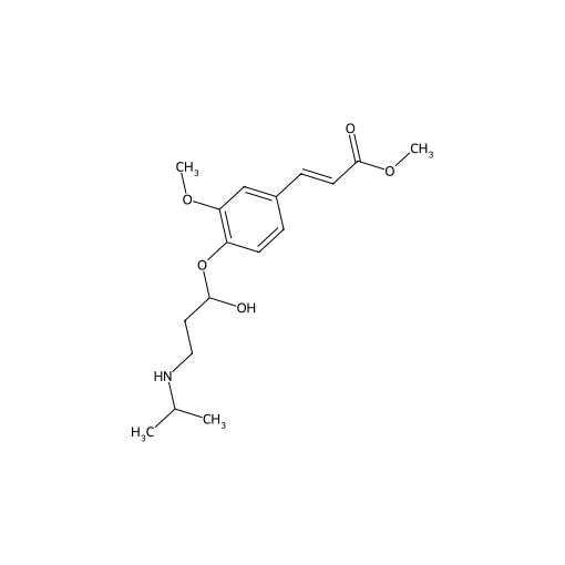 COC(=O)C=Cc1ccc(OC(O)CCNC(C)C)c(OC)c1